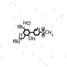 CC(C)(C)NCc1cc(C(C)(C)C)cc(-c2ccc(S(C)(=O)=O)nc2)c1O.Cl